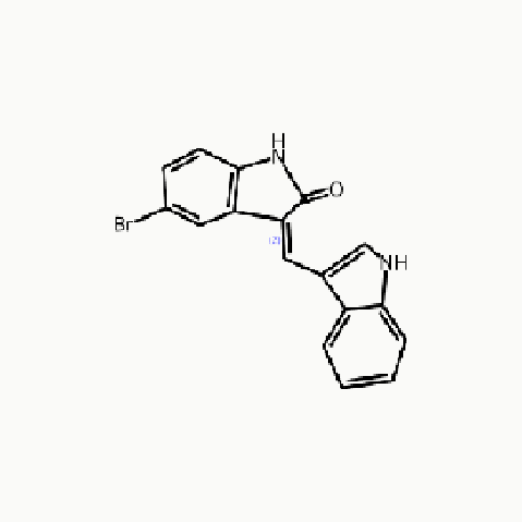 O=C1Nc2ccc(Br)cc2/C1=C/c1c[nH]c2ccccc12